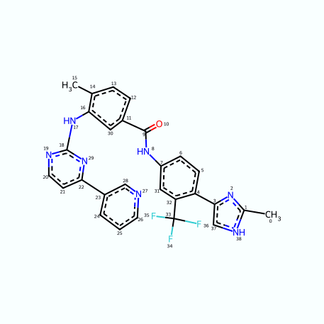 Cc1nc(-c2ccc(NC(=O)c3ccc(C)c(Nc4nccc(-c5cccnc5)n4)c3)cc2C(F)(F)F)c[nH]1